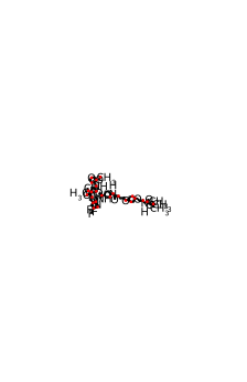 CO[C@@H]1COCC[C@@H]1N[C@H]1CC[C@@](C(=O)N2Cc3cc(C(F)(F)F)cnc3[C@H](NC(=O)C3CCC(NC(=O)CCCOC4CCC(OCCNC(=O)OC(C)(C)C)CC4)CC3)C2)(C(C)C)C1